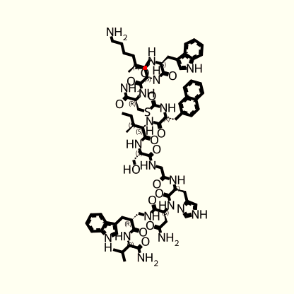 CC[C@H](C)[C@H](NC(=O)[C@@H](Cc1ccc2ccccc2c1)NC(=O)SC[C@H](NC(=O)[C@@H](NC(=O)[C@H](Cc1c[nH]c2ccccc12)NC(=O)[C@@H](C)CCCCN)C(C)C)C(N)=O)C(=O)N[C@@H](CO)C(=O)NCC(=O)N[C@@H](Cc1c[nH]cn1)C(=O)N[C@@H](CC(N)=O)C(=O)NC[C@@H](Cc1c[nH]c2ccccc12)C(=O)N[C@@H](C(N)=O)C(C)C